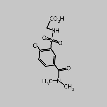 CN(C)C(=O)c1ccc(Cl)c(S(=O)(=O)NCC(=O)O)c1